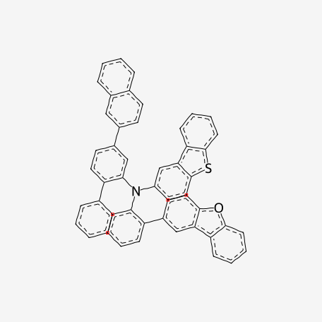 c1ccc(-c2ccc(-c3ccc4ccccc4c3)cc2N(c2ccc3sc4ccccc4c3c2)c2ccccc2-c2ccc3oc4ccccc4c3c2)cc1